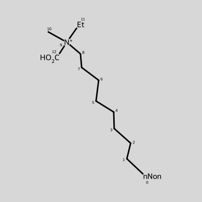 CCCCCCCCCCCCCCCCC[N+](C)(CC)C(=O)O